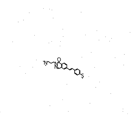 CSc1ccc(/C=C/c2ccc3c(=O)n(CCCN(C)C)ncc3c2)cc1